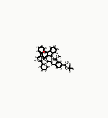 COC(=O)N(C(Cc1ccc(C(=O)OC(C)(C)C)cc1)C(=O)N1CCCCC1c1nc(-c2ccccc2)c[nH]1)C1c2ccccc2-c2ccccc21